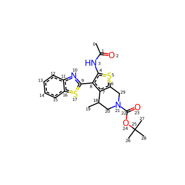 CC(=O)Nc1sc2c(c1-c1nc3ccccc3s1)C(C)CN(C(=O)OC(C)(C)C)C2